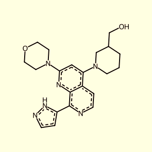 OCC1CCCN(c2cc(N3CCOCC3)nc3c(-c4ccn[nH]4)nccc23)C1